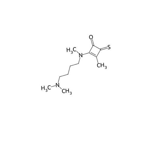 Cc1c(N(C)CCCCN(C)C)c(=O)c1=S